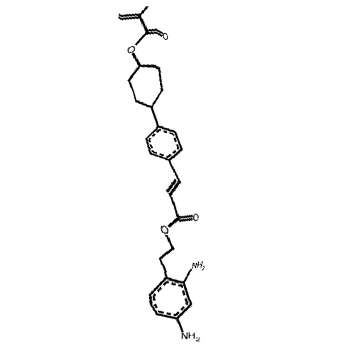 C=C(C)C(=O)OC1CCC(c2ccc(/C=C/C(=O)OCCc3ccc(N)cc3N)cc2)CC1